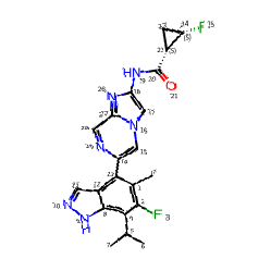 Cc1c(F)c(C(C)C)c2[nH]ncc2c1-c1cn2cc(NC(=O)[C@@H]3C[C@@H]3F)nc2cn1